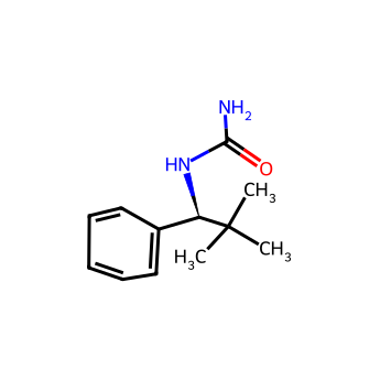 CC(C)(C)[C@H](NC(N)=O)c1ccccc1